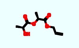 C=CCOC(=O)[C@H](C)OC(=O)[C@H](C)O